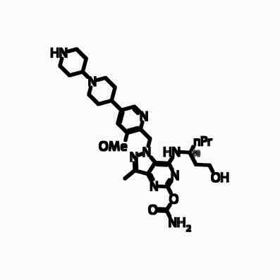 CCC[C@@H](CCO)Nc1nc(OC(N)=O)nc2c(C)nn(Cc3ncc(C4CCN(C5CCNCC5)CC4)cc3OC)c12